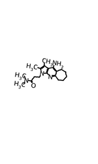 Cc1c(C)n(CCC(=O)N(C)C)c2nc3c(c(N)c12)CCCCC3